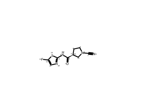 N#CN1CC[C@H](C(=O)Nc2ncc(F)s2)C1